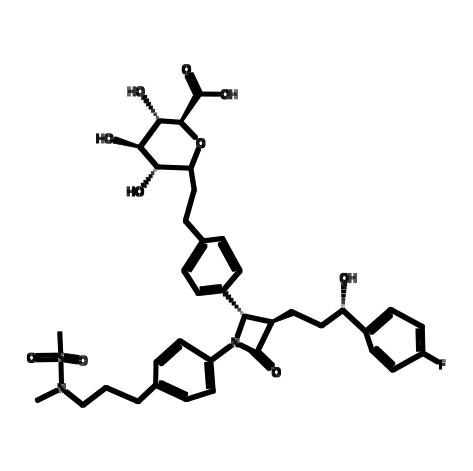 CN(CCCc1ccc(N2C(=O)[C@H](CC[C@H](O)c3ccc(F)cc3)[C@H]2c2ccc(CCC3O[C@H](C(=O)O)[C@@H](O)[C@H](O)[C@H]3O)cc2)cc1)S(C)(=O)=O